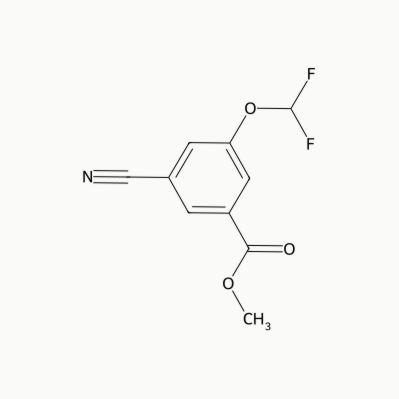 COC(=O)c1cc(C#N)cc(OC(F)F)c1